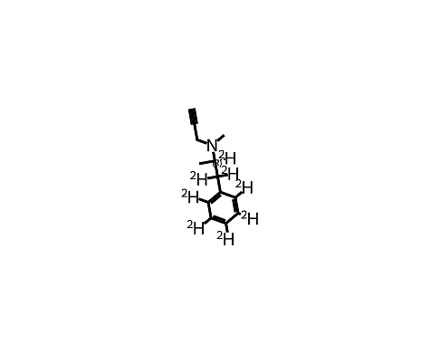 [2H]c1c([2H])c([2H])c(C([2H])([2H])[C@@]([2H])(C)N(C)CC#C)c([2H])c1[2H]